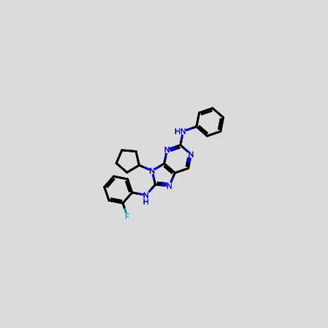 Fc1ccccc1Nc1nc2cnc(Nc3ccccc3)nc2n1C1CCCC1